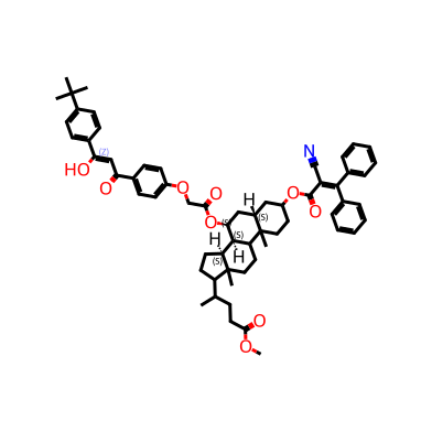 COC(=O)CCC(C)C1CC[C@H]2[C@@H]3C(CCC12C)C1(C)CCC(OC(=O)C(C#N)=C(c2ccccc2)c2ccccc2)C[C@H]1C[C@@H]3OC(=O)COc1ccc(C(=O)/C=C(\O)c2ccc(C(C)(C)C)cc2)cc1